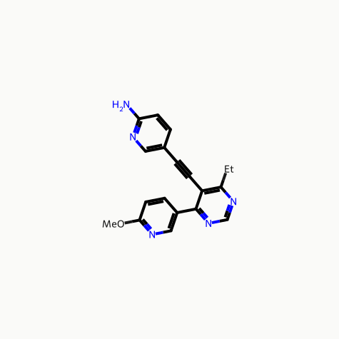 CCc1ncnc(-c2ccc(OC)nc2)c1C#Cc1ccc(N)nc1